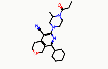 CCC(=O)N1CCN(c2nc(C3CCCCC3)c3c(c2C#N)CCOC3)CC1C